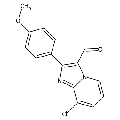 COc1ccc(-c2nc3c(Cl)cccn3c2C=O)cc1